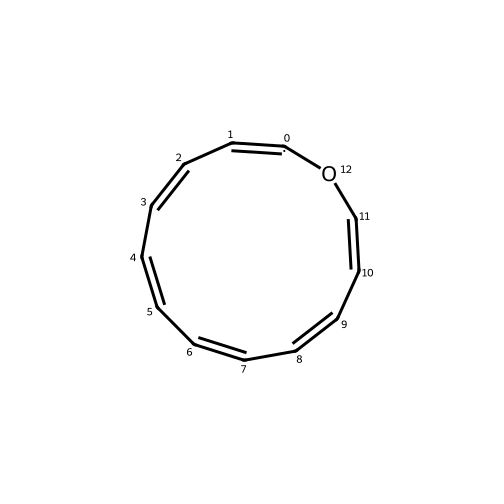 [c]1ccccccccccco1